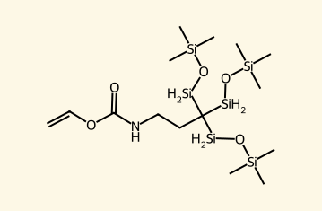 C=COC(=O)NCCC([SiH2]O[Si](C)(C)C)([SiH2]O[Si](C)(C)C)[SiH2]O[Si](C)(C)C